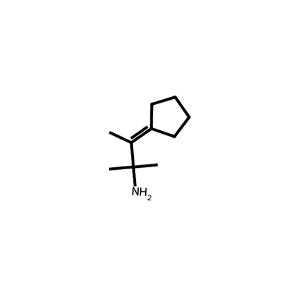 CC(=C1CCCC1)C(C)(C)N